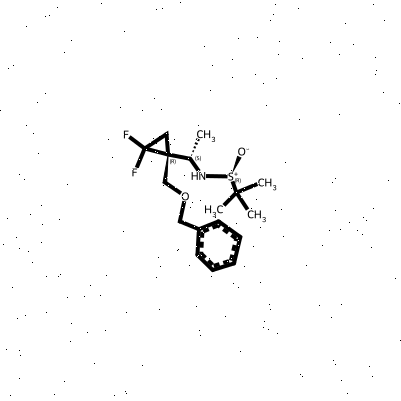 C[C@H](N[S@@+]([O-])C(C)(C)C)[C@@]1(COCc2ccccc2)CC1(F)F